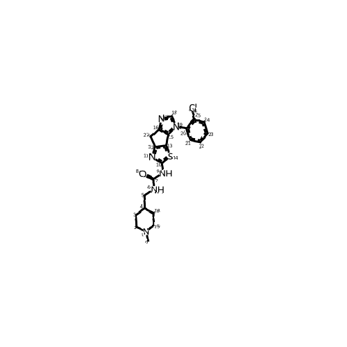 CN1CCC(CNC(=O)Nc2nc3c(s2)-c2c(ncn2-c2ccccc2Cl)C3)CC1